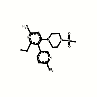 CCc1nc(N)nc(N2CCN(S(C)(=O)=O)CC2)c1-c1ccc(N)nc1